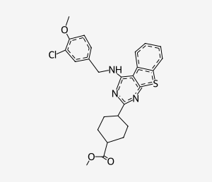 COC(=O)C1CCC(c2nc(NCc3ccc(OC)c(Cl)c3)c3c(n2)sc2ccccc23)CC1